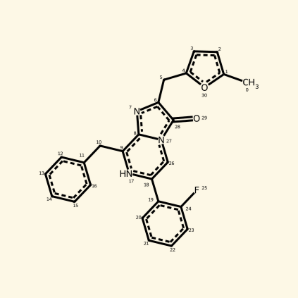 Cc1ccc(Cc2nc3c(Cc4ccccc4)[nH]c(-c4ccccc4F)cn-3c2=O)o1